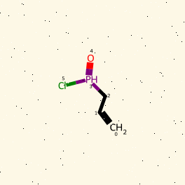 C=CC[PH](=O)Cl